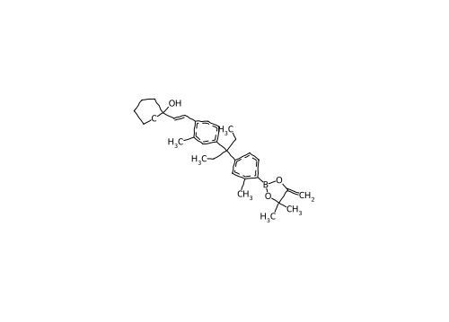 C=C1OB(c2ccc(C(CC)(CC)c3ccc(/C=C/C4(O)CCCCC4)c(C)c3)cc2C)OC1(C)C